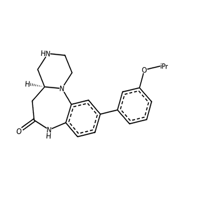 CC(C)Oc1cccc(-c2ccc3c(c2)N2CCNC[C@@H]2CC(=O)N3)c1